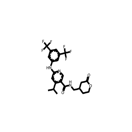 CC(C)c1cc(Nc2cc(C(F)(F)F)cc(C(F)(F)F)c2)ncc1C(=O)NCC1CCOC(=O)C1